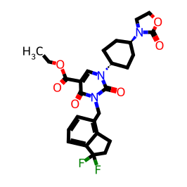 CCOC(=O)c1cn([C@H]2CC[C@H](N3CCOC3=O)CC2)c(=O)n(Cc2cccc3c2CCC3(F)F)c1=O